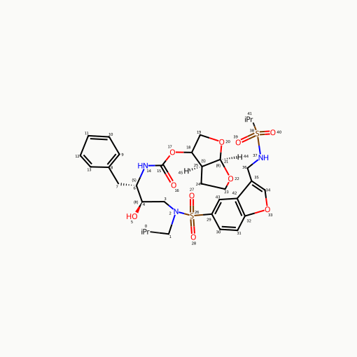 CC(C)CN(C[C@@H](O)[C@H](Cc1ccccc1)NC(=O)OC1CO[C@H]2OCC[C@@H]12)S(=O)(=O)c1ccc2occ(CNS(=O)(=O)C(C)C)c2c1